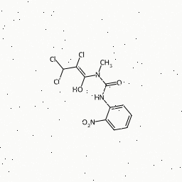 CN(C(=O)Nc1ccccc1[N+](=O)[O-])C(O)=C(Cl)C(Cl)Cl